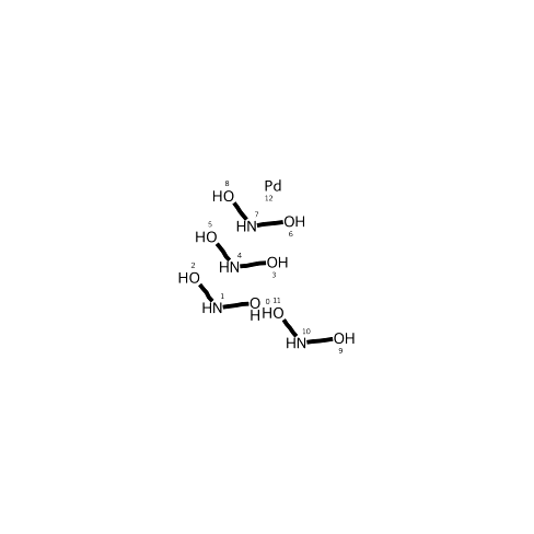 ONO.ONO.ONO.ONO.[Pd]